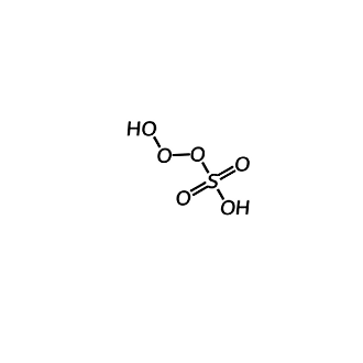 O=S(=O)(O)OOO